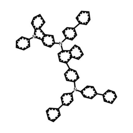 c1ccc(-c2ccc(N(c3ccc(-c4ccccc4)cc3)c3ccc(-c4ccc(N(c5ccc(-c6ccccc6)cc5)c5ccc6c(c5)c5ccccc5n6-c5ccccc5)c5ccccc45)cc3)cc2)cc1